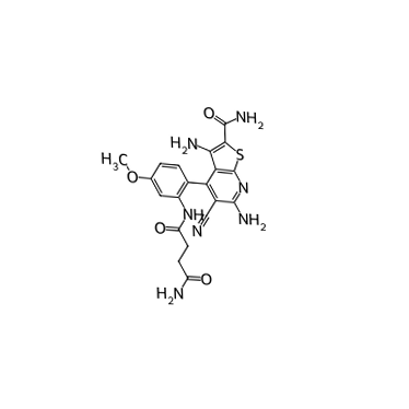 COc1ccc(-c2c(C#N)c(N)nc3sc(C(N)=O)c(N)c23)c(NC(=O)CCC(N)=O)c1